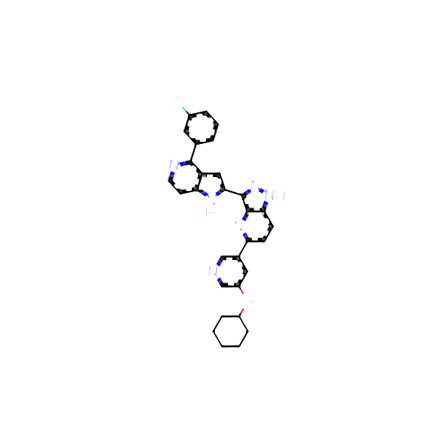 Fc1cccc(-c2nccc3[nH]c(-c4n[nH]c5ccc(-c6cncc(OC7CCCCC7)c6)nc45)cc23)c1